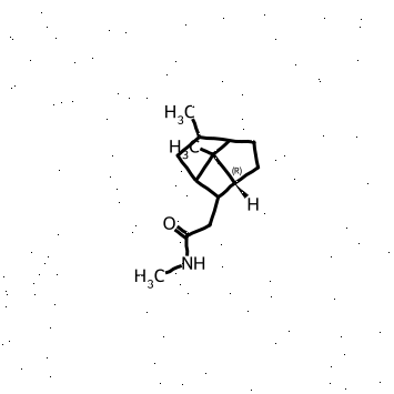 CNC(=O)CC1C2CC(C)C3CC[C@H]1C32C